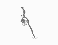 CCCCCCCCCCC(CCCCCCCCCCCCCCCCCC(=O)O)C(=O)OCC(CC)(CO)CO